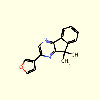 CC1(C)c2ccccc2-c2ncc(-c3ccoc3)nc21